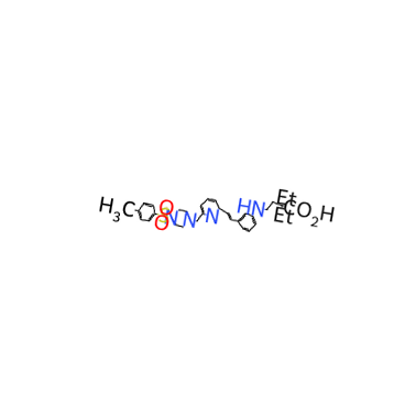 CCC(CC)(CCNc1cccc(C=Cc2cccc(CN3CCN(S(=O)(=O)c4ccc(C)cc4)CC3)n2)c1)C(=O)O